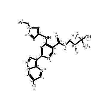 CC(C)Cn1cc(Nc2cc(-c3cnn4cc(Cl)cnc34)ncc2C(=O)NC[C@@H](F)C(C)(C)O)cn1